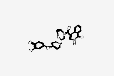 O=C(c1c[nH]c(=O)c2ccccc12)N1CCO[C@@H](CN2CCC(Oc3ccc(Cl)c(Cl)c3)CC2)C1